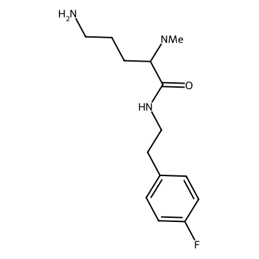 CNC(CCCN)C(=O)NCCc1ccc(F)cc1